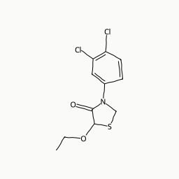 CCOC1SCN(c2ccc(Cl)c(Cl)c2)C1=O